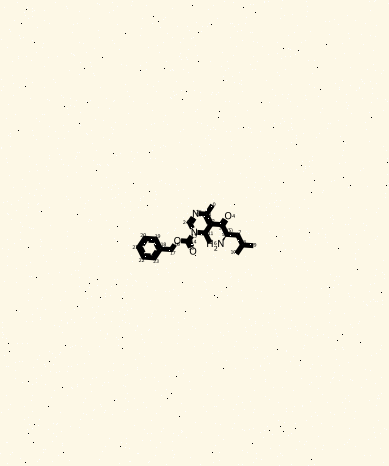 CC1=C(C(=O)[C@@H](N)CC(C)C)C(C)N(C(=O)OCc2ccccc2)[C]=N1